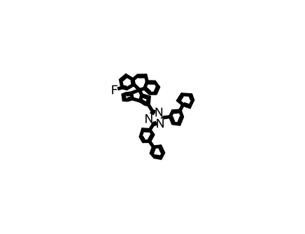 Fc1ccc2c(c1)C1(c3ccccc3C=C2)c2ccccc2-c2cc(-c3nc(-c4cccc(-c5ccccc5)c4)nc(-c4cccc(-c5ccccc5)c4)n3)ccc21